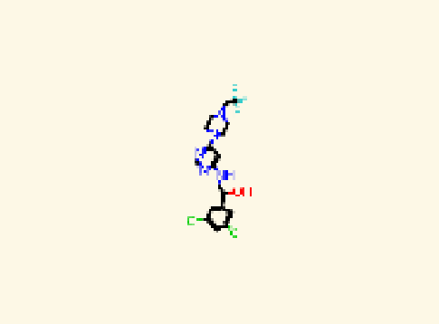 OC(CNc1cc(N2CCN(CC(F)(F)F)CC2)ncn1)c1cc(Cl)cc(Cl)c1